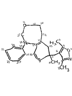 Cc1noc(C)c1C1(C)C=CC2=C(CCCOCN2c2ccccc2)C1